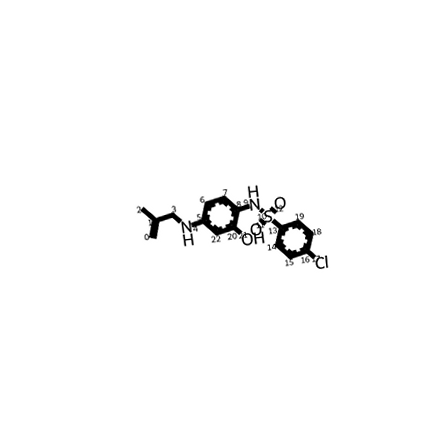 C=C(C)CNc1ccc(NS(=O)(=O)c2ccc(Cl)cc2)c(O)c1